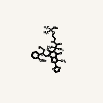 COc1ccccc1[C@H](Cn1c(=O)n(C(C)(C)C(=O)NCCO[Si](C)(C)C(C)(C)C)c(=O)c2c(C)c(-c3ncco3)sc21)OC(C)C